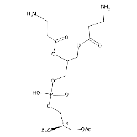 CC(=O)OC[C@H](COP(=O)(O)OCC(COC(=O)CCN)OC(=O)CCN)OC(C)=O